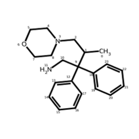 CC(CN1CCOCC1)C(CN)(c1ccccc1)c1ccccc1